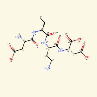 CC[C@H](NC(=O)[C@@H](N)CC(=O)O)C(=O)N[C@@H](CCN)C(=O)N[C@@H](CC(=O)O)C(=O)O